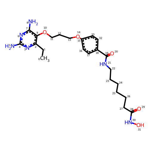 CCc1nc(N)nc(N)c1OCCCOc1ccc(C(=O)NCCCCCCC(=O)NO)cc1